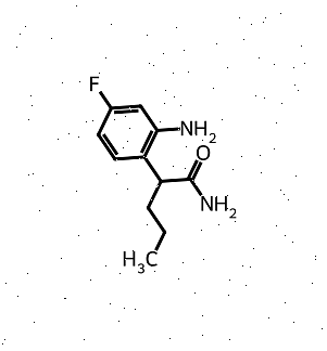 CCCC(C(N)=O)c1ccc(F)cc1N